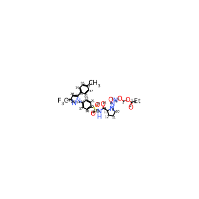 CCC(=O)OCOn1on1N1CCCC1C(=O)NS(=O)(=O)c1ccc(-n2nc(C(F)(F)F)cc2-c2ccc(C)cc2)cc1